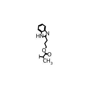 CC(I)C(=O)OCCCc1nc2ccccc2[nH]1